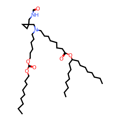 CCCCCCCCCOC(=O)OCCCCCCN(CCCCCCCC(=O)OC(CCCCCCCC)CCCCCCCC)CC1(CNC=O)CC1